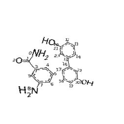 NC(=O)c1cccc(N)c1.Oc1cccc(-c2cccc(O)c2)c1